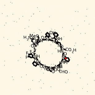 CCCC[C@H]1C(=O)N2CCOC[C@@H]2C(=O)N[C@@H](COC=O)C(=O)N[C@@H](C(C)C)C(=O)N(C)[C@@H](Cc2ccccc2)C(=O)N[C@@H](CCC(=O)O)C(=O)N2CCC[C@@H]2C(=O)N[C@@H](Cc2c[nH]c3ccccc23)C(=O)N[C@@H](Cc2ccc(O)cc2)C(=O)N[C@@H](CCOC)C(=O)N[C@H](C(=O)NCC(N)=O)CSCC(=O)N[C@@H](Cc2cc(F)c(F)c(F)c2)C(=O)N(C)[C@@H](Cc2ccccc2)C(=O)N1C